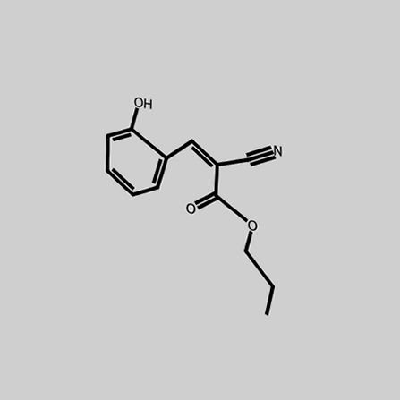 CCCOC(=O)C(C#N)=Cc1ccccc1O